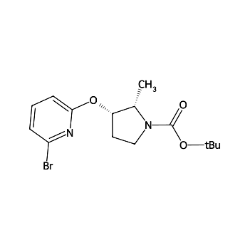 C[C@H]1[C@@H](Oc2cccc(Br)n2)CCN1C(=O)OC(C)(C)C